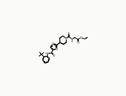 CCOC(=O)CNC(=S)N1CCC(c2nc(C(=O)Nc3ccccc3C(C)(C)C)cs2)CC1